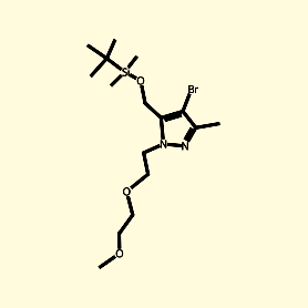 COCCOCCn1nc(C)c(Br)c1CO[Si](C)(C)C(C)(C)C